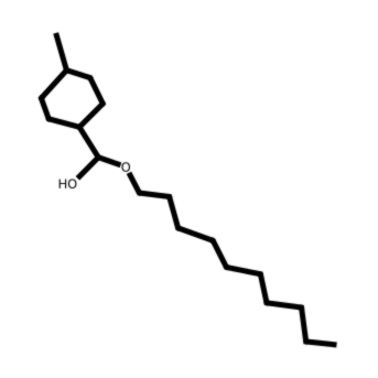 CCCCCCCCCCOC(O)C1CCC(C)CC1